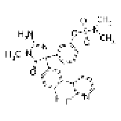 CN1C(=O)C(c2cccc(OS(=O)(=O)N(C)C)c2)(c2ccc(F)c(-c3cccnc3F)c2)N=C1N